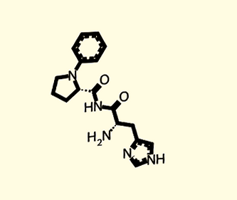 N[C@@H](Cc1c[nH]cn1)C(=O)NC(=O)[C@@H]1CCCN1c1ccccc1